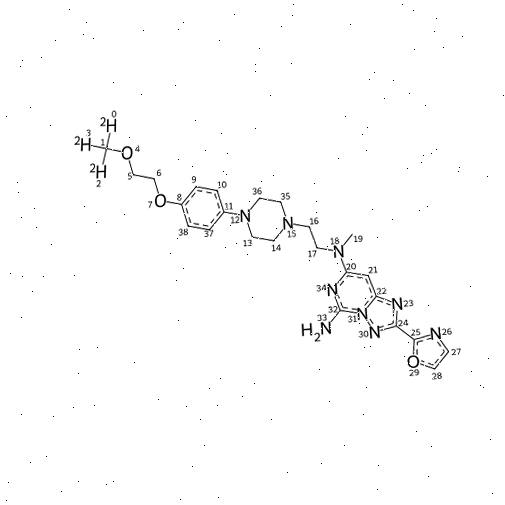 [2H]C([2H])([2H])OCCOc1ccc(N2CCN(CCN(C)c3cc4nc(-c5ncco5)nn4c(N)n3)CC2)cc1